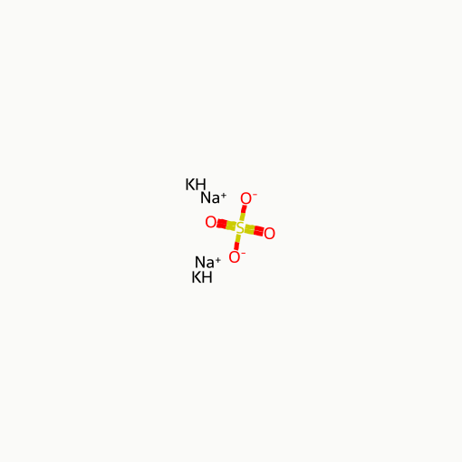 O=S(=O)([O-])[O-].[KH].[KH].[Na+].[Na+]